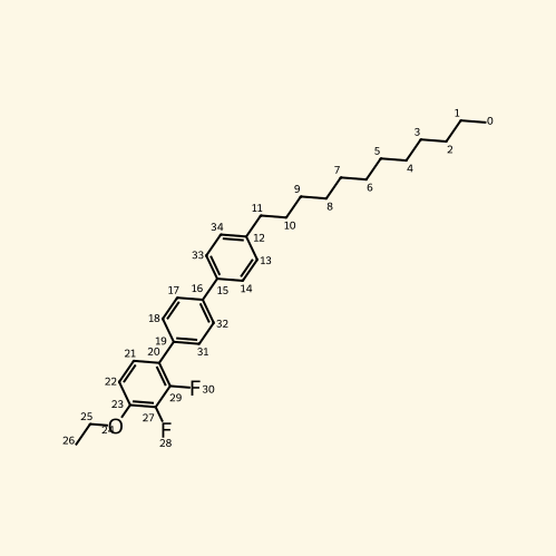 CCCCCCCCCCCCc1ccc(-c2ccc(-c3ccc(OCC)c(F)c3F)cc2)cc1